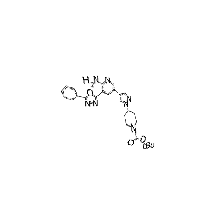 CC(C)(C)OC(=O)N1CCC(n2cc(-c3cnc(N)c(-c4nnc(-c5ccccc5)o4)c3)cn2)CC1